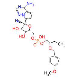 CC[C@H](COP(=O)(O)OC[C@H]1O[C@@](C#N)(c2ccc3c(N)ncnn23)[C@@H](O)C1O)OCc1ccc(OC)cc1